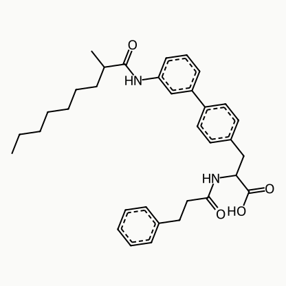 CCCCCCCC(C)C(=O)Nc1cccc(-c2ccc(CC(NC(=O)CCc3ccccc3)C(=O)O)cc2)c1